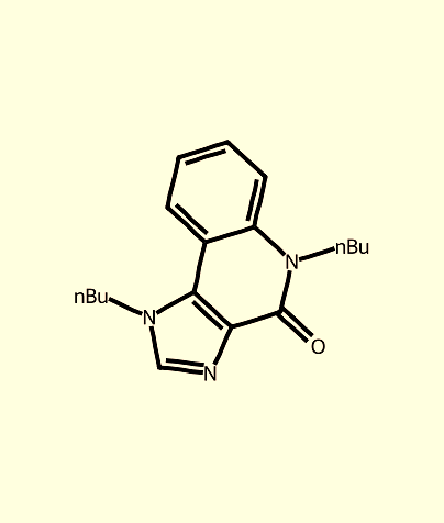 CCCCn1cnc2c(=O)n(CCCC)c3ccccc3c21